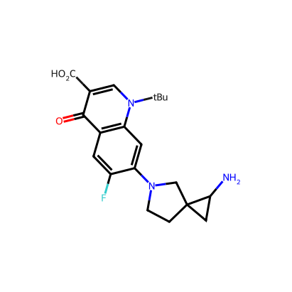 CC(C)(C)n1cc(C(=O)O)c(=O)c2cc(F)c(N3CCC4(CC4N)C3)cc21